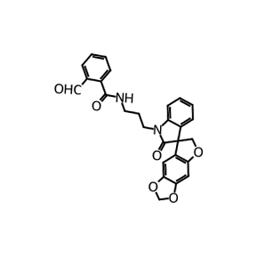 O=Cc1ccccc1C(=O)NCCCN1C(=O)C2(COc3cc4c(cc32)OCO4)c2ccccc21